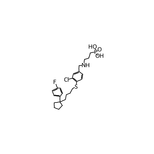 O=P(O)(O)CCCNCc1ccc(SCCCCC2(c3ccc(F)cc3)CCCC2)c(Cl)c1